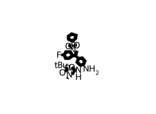 CN(CC(=O)Nc1cc(-c2cn(S(=O)(=O)c3ccccc3)c3cc(F)ccc23)ccc1N)C(=O)OC(C)(C)C